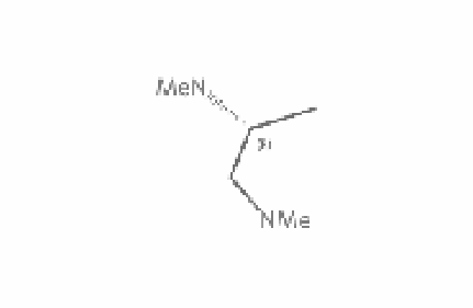 CNC[C@@H](C)NC